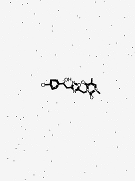 Cc1cn(C)c(=O)n(Cc2nc(C[C@H](O)c3ccc(Cl)cc3)no2)c1=O